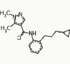 Cc1c(C(=O)Nc2ccccc2CCCC2CC2)cnn1C